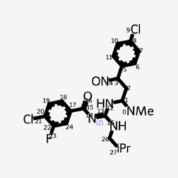 CNC(CC(N=O)c1ccc(Cl)cc1)N/C(=N\C(=O)c1ccc(Cl)c(F)c1)NCC(C)C